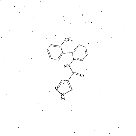 O=C(Nc1ccccc1-c1ccccc1C(F)(F)F)c1cn[nH]c1